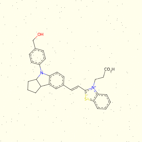 O=C(O)CC[n+]1c(/C=C/c2ccc3c(c2)C2CCCC2N3c2ccc(CO)cc2)sc2ccccc21